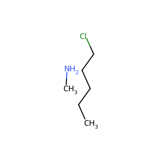 CCCCCCl.CN